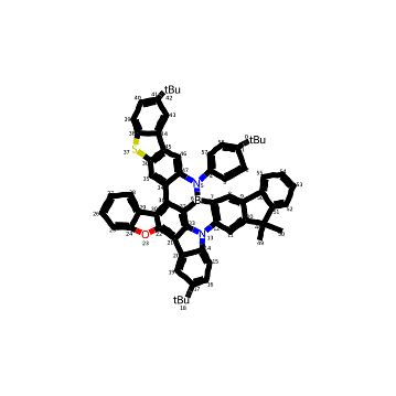 CC(C)(C)c1ccc(N2B3c4cc5c(cc4-n4c6ccc(C(C)(C)C)cc6c6c7oc8ccccc8c7c(c3c64)-c3cc4sc6ccc(C(C)(C)C)cc6c4cc32)C(C)(C)c2ccccc2-5)cc1